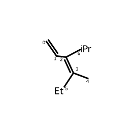 C=C/C(=C(/C)CC)C(C)C